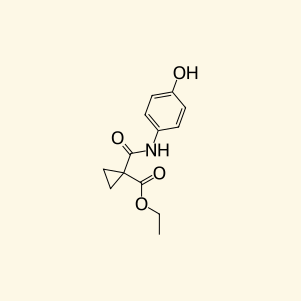 CCOC(=O)C1(C(=O)Nc2ccc(O)cc2)CC1